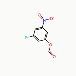 O=COc1cc(F)cc([N+](=O)[O-])c1